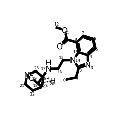 CCc1nc2cccc(C(=O)OC)c2n1CCN[C@@H]1CN2CCC1CC2